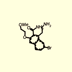 COCCOc1cc2ccc(Br)cc2c(CCN)c1C(N)=O